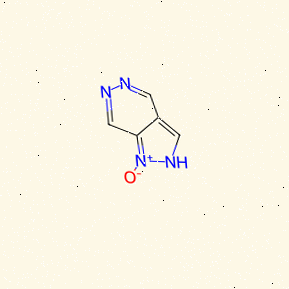 [O-][n+]1[nH]cc2cnncc21